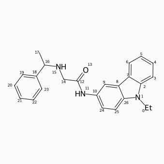 CCn1c2ccccc2c2cc(NC(=O)CNC(C)c3ccccc3)ccc21